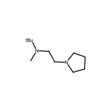 CN(CCN1CCCC1)C(C)(C)C